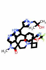 CN1C(=O)C2(CCN(C3(CC#N)CCC3)CC2)c2c1cnc1[nH]c(-c3cnn(CC(C)(C)O)c3)c(-c3ccc(OC(F)(F)F)cc3)c21